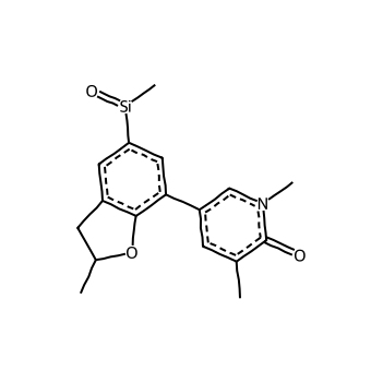 Cc1cc(-c2cc([Si](C)=O)cc3c2OC(C)C3)cn(C)c1=O